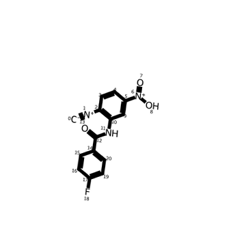 [C-]#[N+]c1ccc([N+](=O)O)cc1NC(=O)c1ccc(F)cc1